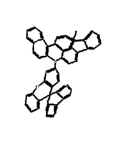 CC1(C)c2ccccc2-c2ccc(N(c3ccc4c(c3)Oc3ccccc3C43c4ccccc4-c4ccccc43)c3ccc4ccccc4c3-c3ccccc3)cc21